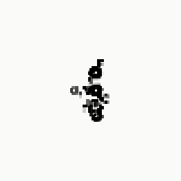 CCN1CCCC1CN(O)C(=O)c1ccc(Sc2ccc(F)cc2)c([N+](=O)[O-])c1